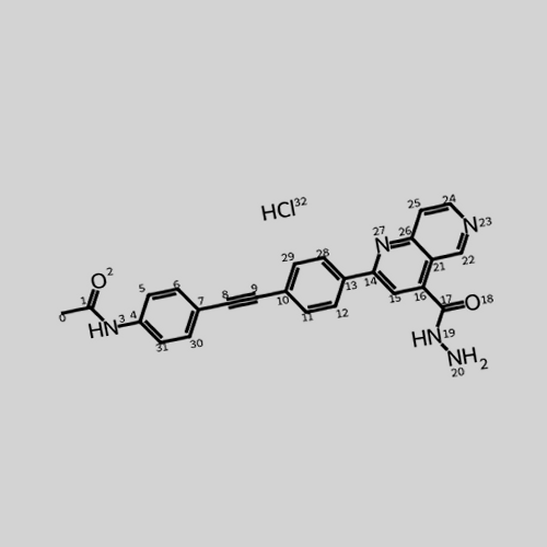 CC(=O)Nc1ccc(C#Cc2ccc(-c3cc(C(=O)NN)c4cnccc4n3)cc2)cc1.Cl